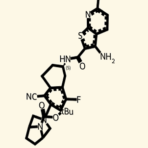 Cc1ccc2c(N)c(C(=O)N[C@H]3CCc4c(C#N)c(N5CC6CCC(C5)N6C(=O)OC(C)(C)C)cc(F)c4C3)sc2n1